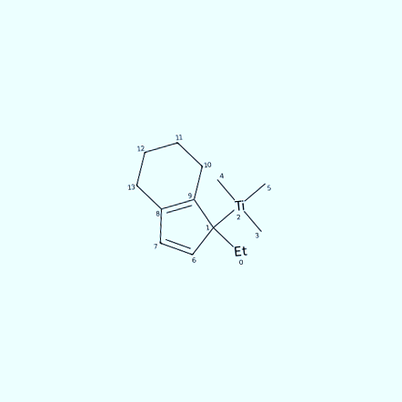 CC[C]1([Ti]([CH3])([CH3])[CH3])C=CC2=C1CCCC2